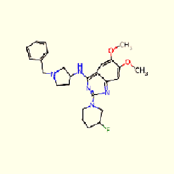 COc1cc2nc(N3CCCC(F)C3)nc(NC3CCN(Cc4ccccc4)C3)c2cc1OC